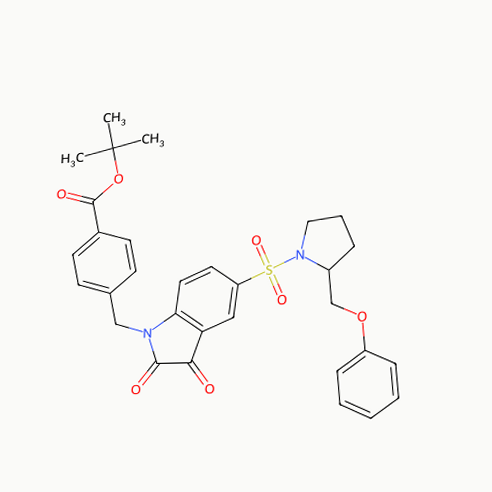 CC(C)(C)OC(=O)c1ccc(CN2C(=O)C(=O)c3cc(S(=O)(=O)N4CCCC4COc4ccccc4)ccc32)cc1